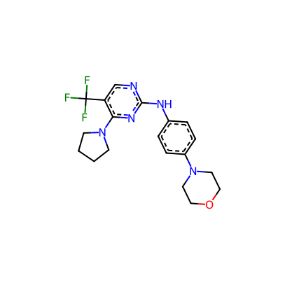 FC(F)(F)c1cnc(Nc2ccc(N3CCOCC3)cc2)nc1N1CCCC1